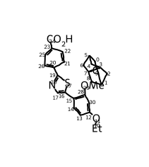 C1C2CC34CC1CC3(C2)C4.CCOc1ccc(-c2cnc(-c3ccc(C(=O)O)cc3)s2)c(OC)c1